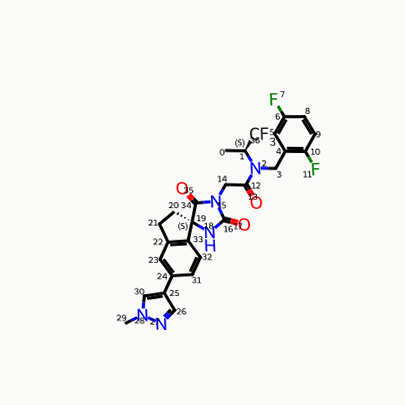 C[C@H](N(Cc1cc(F)ccc1F)C(=O)CN1C(=O)N[C@]2(CCc3cc(-c4cnn(C)c4)ccc32)C1=O)C(F)(F)F